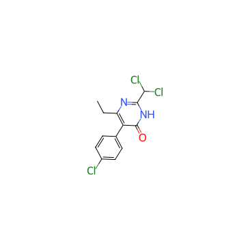 CCc1nc(C(Cl)Cl)[nH]c(=O)c1-c1ccc(Cl)cc1